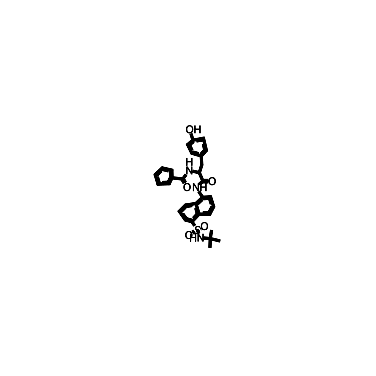 CC(C)(C)NS(=O)(=O)c1cccc2c(NC(=O)C(Cc3ccc(O)cc3)NC(=O)c3ccccc3)cccc12